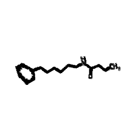 CCCC(=O)NCCCCCCc1ccccc1